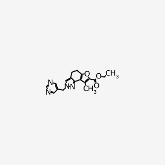 CCOC(=O)c1oc2c(c1C)-c1nn(Cc3cncnc3)cc1CC2